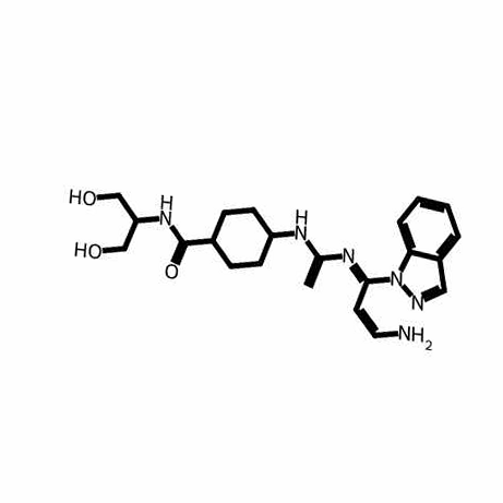 C=C(/N=C(\C=C/N)n1ncc2ccccc21)NC1CCC(C(=O)NC(CO)CO)CC1